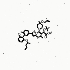 C=CCOC1(C)CCN(c2c(C(OC(C)(C)C)C(=O)O)c(C)nc3cc(-c4ccc(C)c(-c5c(Cl)cccc5OC(C)CC=C)c4)nn23)CC1